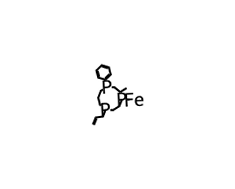 C=CCP1CCCP(c2ccccc2)CC(C)[P]([Fe])CC1